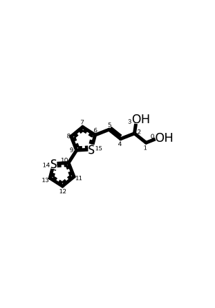 OCC(O)C=Cc1ccc(-c2cccs2)s1